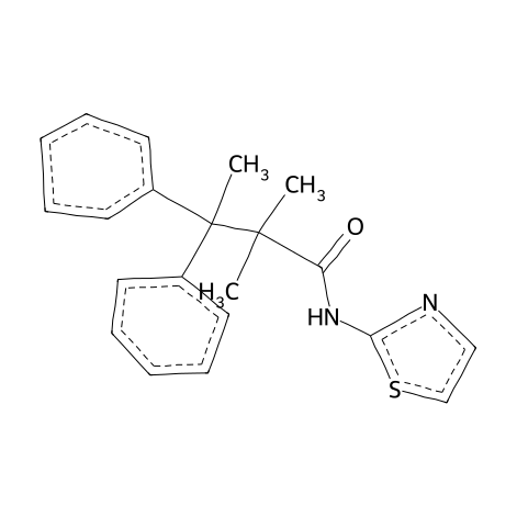 CC(C)(C(=O)Nc1nccs1)C(C)(c1ccccc1)c1ccccc1